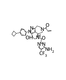 C=CC(=O)N1CCc2nn(-c3ccc(C4CCC4)cc3O)c3c2[C@H](C1)N(C(=O)c1ncc(C(F)(F)F)c(N)n1)CC3